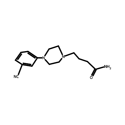 N#Cc1cccc(N2CCN(CCCC(N)=O)CC2)c1